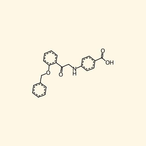 O=C(O)c1ccc(NCC(=O)c2ccccc2OCc2ccccc2)cc1